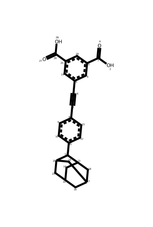 O=C(O)c1cc(C#Cc2ccc(C3C4CC5CC(C4)CC3C5)cc2)cc(C(=O)O)c1